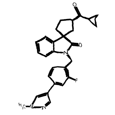 Cn1cc(-c2ccc(CN3C(=O)C4(CCC(C(=O)C5CC5)C4)c4ccccc43)c(F)c2)cn1